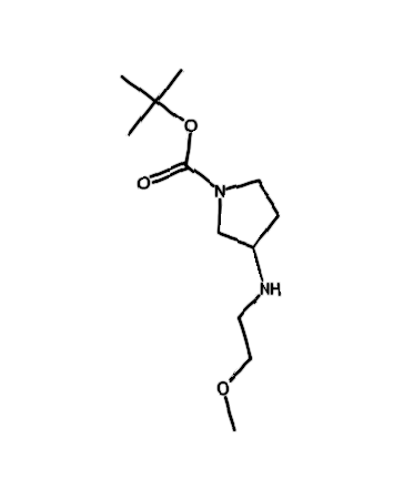 COCCNC1CCN(C(=O)OC(C)(C)C)C1